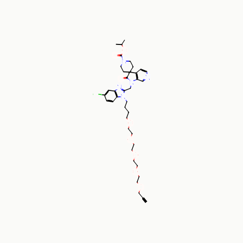 C#CCOCCOCCOCCOCCOCCCCn1c(CN2C(=O)C3(CCN(C(=O)OC(C)C)CC3)c3ccncc32)nc2cc(Cl)ccc21